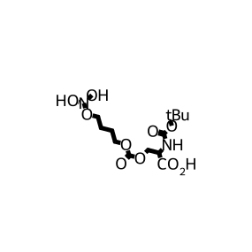 CC(C)(C)OC(=O)NC(COC(=O)OCCCCON(O)O)C(=O)O